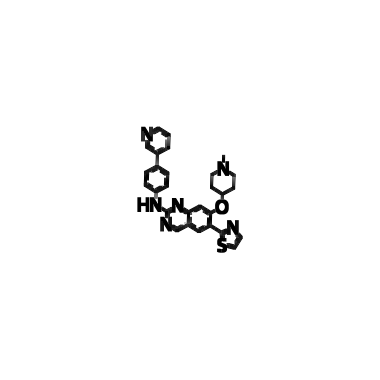 CN1CCC(Oc2cc3nc(Nc4ccc(-c5cccnc5)cc4)ncc3cc2-c2nccs2)CC1